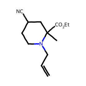 C=CCN1CCC(C#N)CC1(C)C(=O)OCC